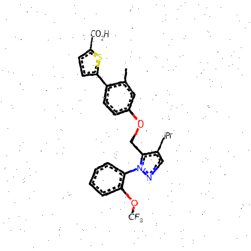 Cc1cc(OCc2c(C(C)C)cnn2-c2ccccc2OC(F)(F)F)ccc1-c1ccc(C(=O)O)s1